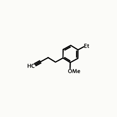 C#CCCc1ccc(CC)cc1OC